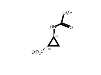 CCOC(=O)[C@H]1C[C@@H]1NC(=O)OC